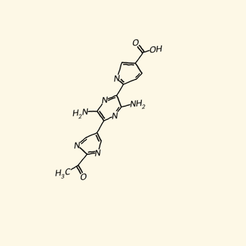 CC(=O)c1ncc(-c2nc(N)c(-c3ccc(C(=O)O)cn3)nc2N)cn1